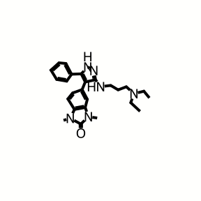 CCN(CC)CCCNc1n[nH]c(-c2ccccc2)c1-c1ccc2c(c1)n(C)c(=O)n2C